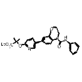 CCOC(=O)C(C)(C)Oc1ccc(-c2ccc3c(c2)OCCN3C(=O)Nc2ccccc2)cn1